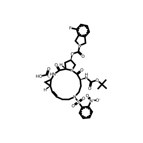 CC(C)(C)OC(=O)N[C@H]1CCN(S(=O)(=O)c2ccccc2[N+](=O)[O-])CCC=C[C@@H]2C[C@@]2(C(=O)O)NC(=O)[C@@H]2C[C@@H](OC(=O)N3Cc4cccc(F)c4C3)CN2C1=O